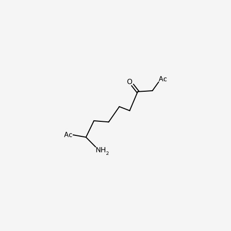 CC(=O)CC(=O)CCCCC(N)C(C)=O